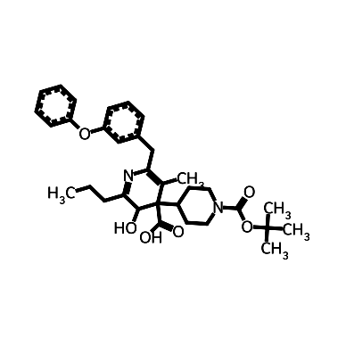 CCCC1=NC(Cc2cccc(Oc3ccccc3)c2)=C(C)C(C(=O)O)(C2CCN(C(=O)OC(C)(C)C)CC2)C1O